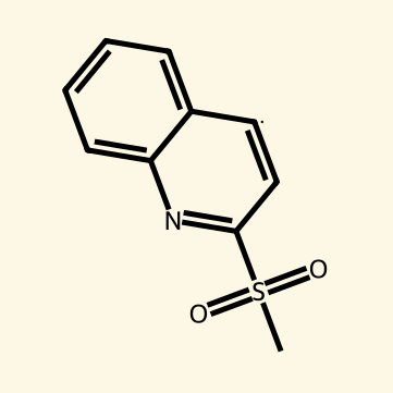 CS(=O)(=O)c1c[c]c2ccccc2n1